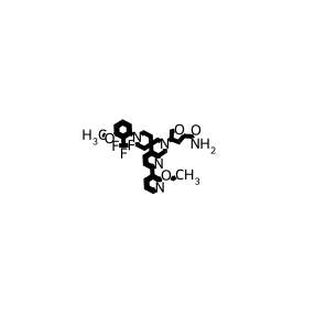 CCOc1ncccc1-c1ccc2c(n1)CN(C1COC(C(N)=O)C1)CC21CCN(c2cccc(OC)c2C(F)(F)F)CC1